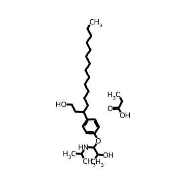 CCC(=O)O.CCCCCCCCCCCCCC(CCO)c1ccc(OC(NC(C)C)C(C)O)cc1